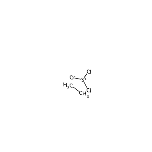 CC.[O-][S+](Cl)Cl